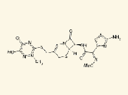 CO/N=C(\C(=O)N[C@@H]1C(=O)N2C=C(CSc3nc(=O)c(O)nn3C)CS[C@H]12)c1csc(N)n1